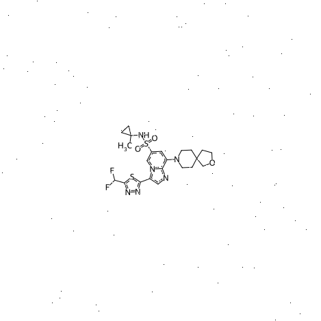 CC1(NS(=O)(=O)c2cc(N3CCC4(CCOC4)CC3)c3ncc(-c4nnc(C(F)F)s4)n3c2)CC1